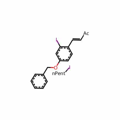 CC(=O)/C=C/c1ccc(OCc2ccccc2)cc1I.CCCCCI